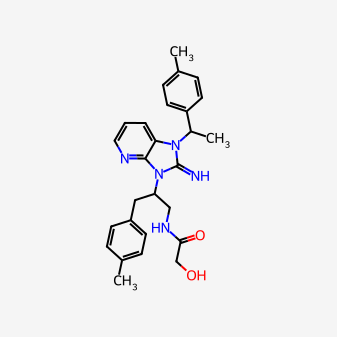 Cc1ccc(CC(CNC(=O)CO)n2c(=N)n(C(C)c3ccc(C)cc3)c3cccnc32)cc1